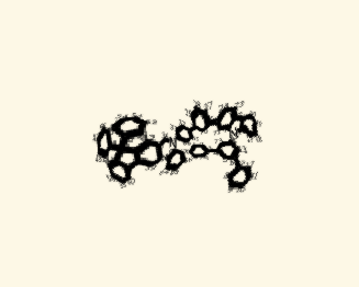 c1ccc(-c2cc(-c3ccccc3)cc(-n3c4ccccc4c4ccc(-c5cccc(-c6ccc(N(Cc7ccc8c(c7)C(c7ccccc7)(c7ccccc7)c7ccccc7-8)c7ccccc7)cc6)c5)cc43)c2)cc1